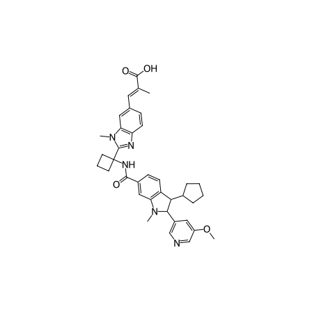 COc1cncc(C2C(C3CCCC3)c3ccc(C(=O)NC4(c5nc6ccc(/C=C(\C)C(=O)O)cc6n5C)CCC4)cc3N2C)c1